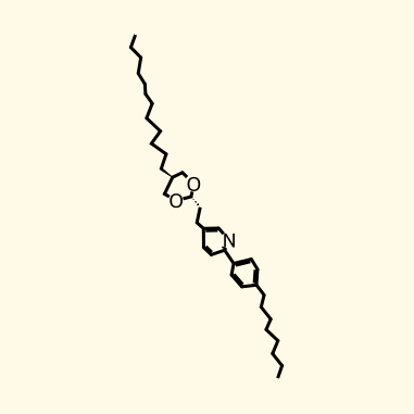 CCCCCCCCCCCC[C@H]1CO[C@H](CCc2ccc(-c3ccc(CCCCCCCC)cc3)nc2)OC1